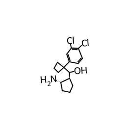 N[C@H]1CCC[C@@H]1C(O)C1(c2ccc(Cl)c(Cl)c2)CCC1